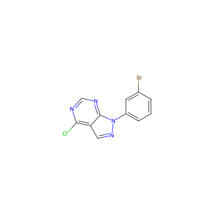 Clc1ncnc2c1cnn2-c1cccc(Br)c1